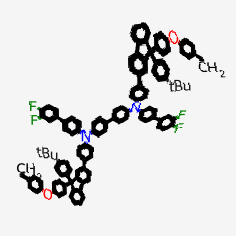 C=Cc1ccc(Oc2ccc(C3(c4ccc(C(C)(C)C)cc4)c4ccccc4-c4ccc(-c5ccc(N(c6ccc(-c7ccc(N(c8ccc(-c9ccc(F)c(F)c9)cc8)c8ccc(-c9ccc%10c(c9)C(c9ccc(Oc%11ccc(C=C)cc%11)cc9)(c9ccc(C(C)(C)C)cc9)c9ccccc9-%10)cc8)cc7)cc6)c6ccc(-c7ccc(F)c(F)c7)cc6)cc5)cc43)cc2)cc1